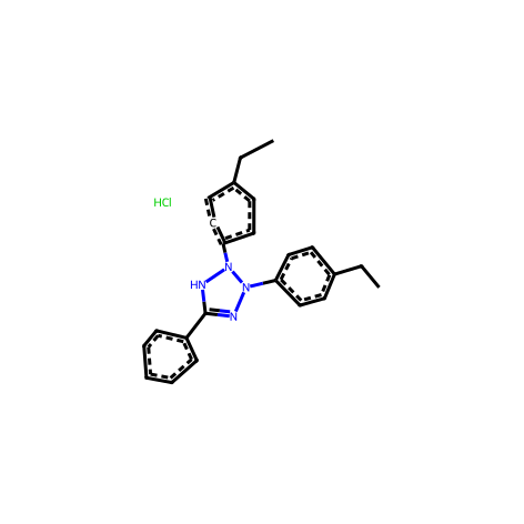 CCc1ccc(N2N=C(c3ccccc3)NN2c2ccc(CC)cc2)cc1.Cl